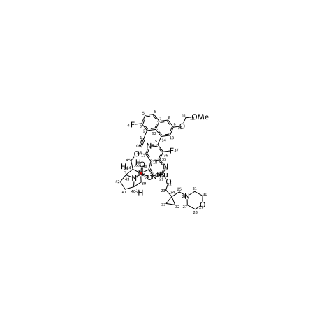 C#Cc1c(F)ccc2cc(OCOC)cc(-c3nc4c5c(nc(OCC6(CN7CCOCC7)CC6)nc5c3F)N3C[C@H]5CC[C@@H]([C@H]3CO4)N5C(=O)OC(C)(C)C)c12